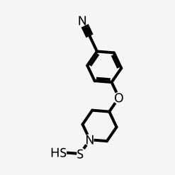 N#Cc1ccc(OC2CCN(SS)CC2)cc1